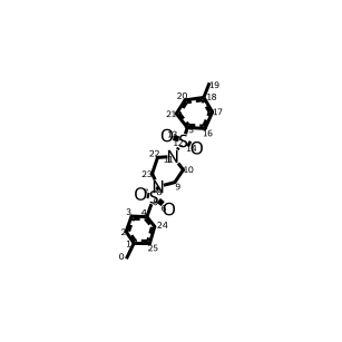 Cc1ccc(S(=O)(=O)N2CCN(S(=O)(=O)c3ccc(C)cc3)CC2)cc1